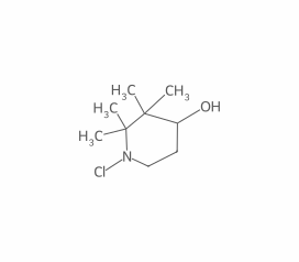 CC1(C)C(O)CCN(Cl)C1(C)C